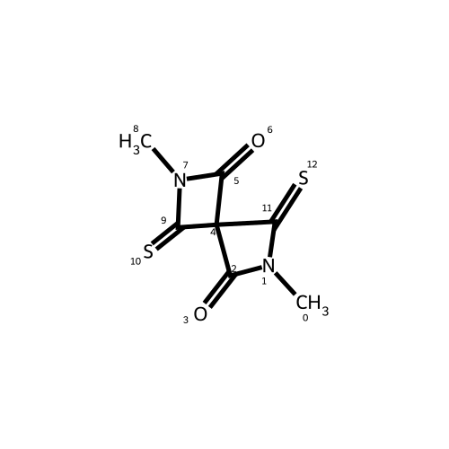 CN1C(=O)C2(C(=O)N(C)C2=S)C1=S